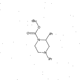 CC(C)C1CN(C(C)C)CCN1C(=O)OC(C)(C)C